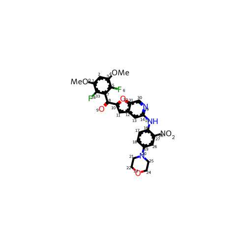 COc1cc(OC)c(F)c(C(=O)c2cc3cc(Nc4ccc(N5CCOCC5)cc4[N+](=O)[O-])ncc3o2)c1F